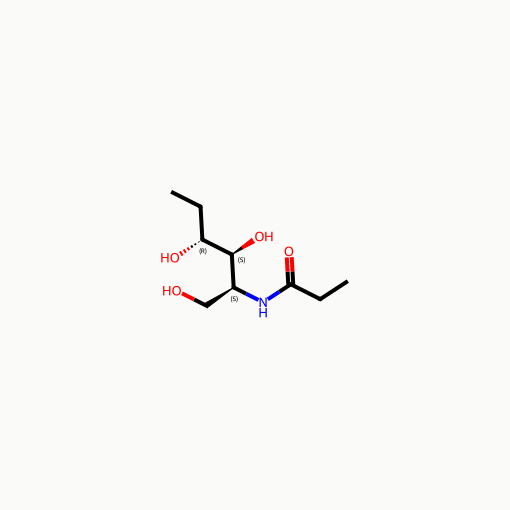 CCC(=O)N[C@@H](CO)[C@H](O)[C@H](O)CC